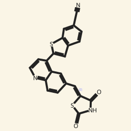 N#Cc1ccc2cc(-c3ccnc4ccc(/C=C5\SC(=O)NC5=O)cc34)sc2c1